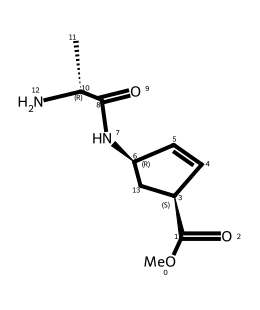 COC(=O)[C@@H]1C=C[C@H](NC(=O)[C@@H](C)N)C1